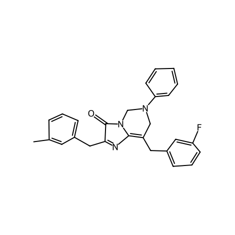 Cc1cccc(CC2=NC3=C(Cc4cccc(F)c4)CN(c4ccccc4)CN3C2=O)c1